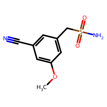 COc1cc(C#N)cc(CS(N)(=O)=O)c1